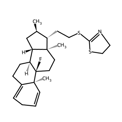 C[C@@H]1C[C@H]2[C@@H]3CCC4=CCC=C[C@]4(C)[C@@]3(F)CC[C@]2(C)[C@H]1CCSC1=NCCS1